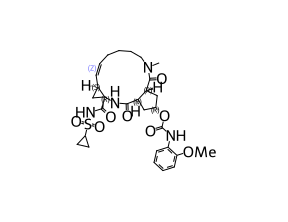 COc1ccccc1NC(=O)O[C@@H]1C[C@H]2C(=O)N[C@]3(C(=O)NS(=O)(=O)C4CC4)C[C@H]3/C=C\CCCCN(C)C(=O)[C@@H]2C1